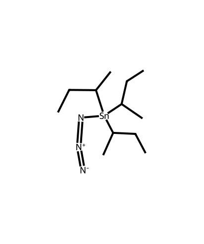 CC[CH](C)[Sn]([N]=[N+]=[N-])([CH](C)CC)[CH](C)CC